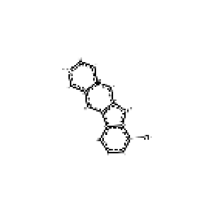 Clc1cccc2c1oc1cc3ccncc3cc12